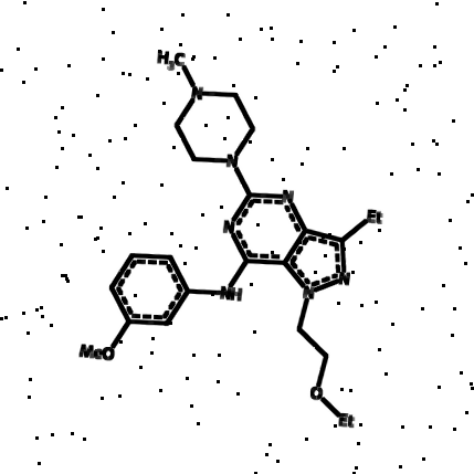 CCOCCn1nc(CC)c2nc(N3CCN(C)CC3)nc(Nc3cccc(OC)c3)c21